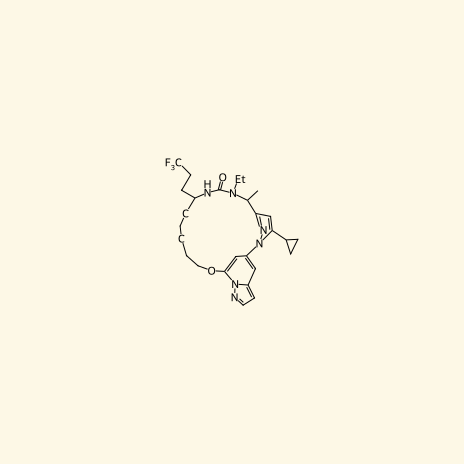 CCN1C(=O)NC(CCC(F)(F)F)CCCCCOc2cc(cc3ccnn23)-n2nc(cc2C2CC2)C1C